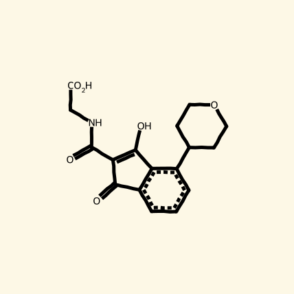 O=C(O)CNC(=O)C1=C(O)c2c(cccc2C2CCOCC2)C1=O